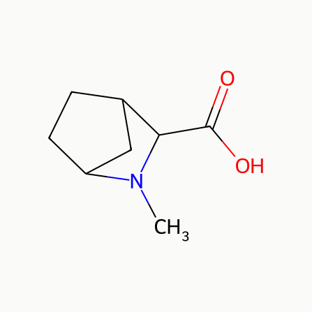 CN1C2CCC(C2)C1C(=O)O